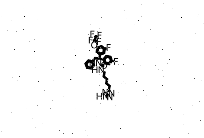 O=C(NCCCCCc1nn[nH]n1)NC(Cc1ccccc1)(c1ccc(F)cc1)c1cc(F)cc(OC(F)(F)C(F)F)c1